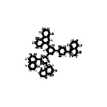 c1ccc2c(-c3nc(-c4cc(-c5ccc(-c6nccc7ccccc67)cc5)cc(-c5cc6ccccc6c6ccccc56)c4)nc(-c4cccc5ccccc45)n3)cccc2c1